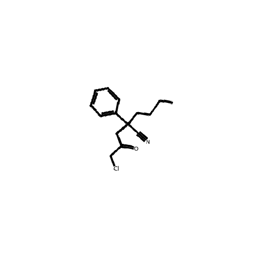 CCCCC(C#N)(CC(=O)CCl)c1ccccc1